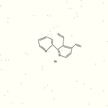 C=Cc1ccnc(-c2ccccn2)c1C=C.[Ni]